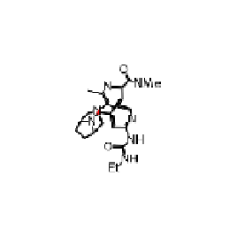 CCNC(=O)Nc1cc(CN2C3CCC2CN(c2ccc(C(=O)NC)nc2C)C3)ccn1